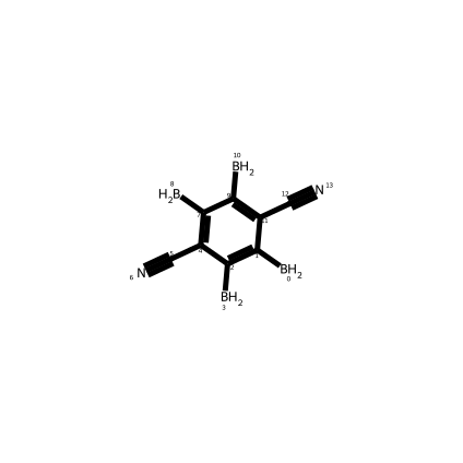 Bc1c(B)c(C#N)c(B)c(B)c1C#N